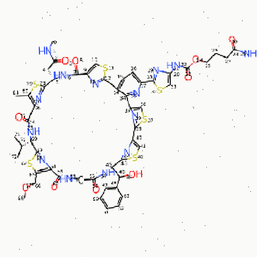 CNC(=O)C[C@@H]1NC(=O)c2csc(n2)-c2ccc(-c3nc(NC(=O)OCCCC(N)=O)cs3)nc2-c2csc(n2)-c2csc(n2)[C@H]([C@@H](O)c2ccccc2)NC(=O)CNC(=O)c2nc(sc2COC)[C@H](C(C)C)NC(=O)c2nc1sc2C